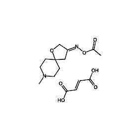 CC(=O)ON=C1COC2(CCN(C)CC2)C1.O=C(O)C=CC(=O)O